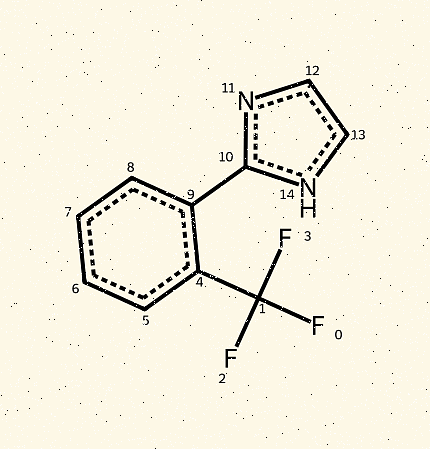 FC(F)(F)c1ccccc1-c1n[c]c[nH]1